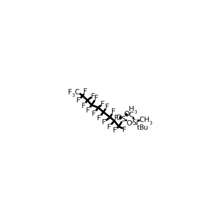 CC(C)(C)[Si](C)(C)OS(=O)(=O)C(F)(F)C(F)(F)C(F)(F)C(F)(F)C(F)(F)C(F)(F)C(F)(F)C(F)(F)C(F)(F)F